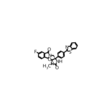 CN1C(=O)N[C@@](CN2Cc3ccc(F)cc3C2=O)(c2ccc(-c3nc4ccccc4s3)cc2)C1=O